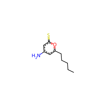 CCCCCc1cc(N)cc(=S)o1